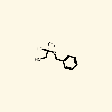 C[C@@](O)(CO)OCc1ccccc1